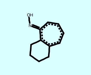 ON=c1ccccc2c1CCCC2